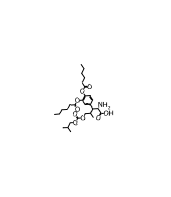 CCCCCC(=O)Oc1ccc(C(C(C)COC(=O)OCC(C)C)[C@H](N)C(=O)O)cc1OC(=O)CCCCC